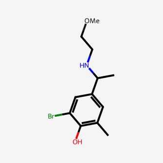 COCCNC(C)c1cc(C)c(O)c(Br)c1